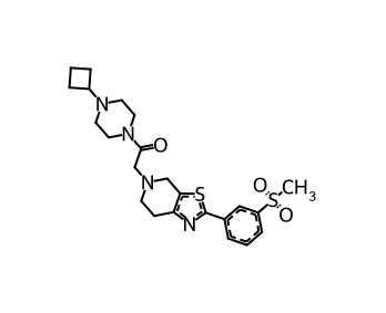 CS(=O)(=O)c1cccc(-c2nc3c(s2)CN(CC(=O)N2CCN(C4CCC4)CC2)CC3)c1